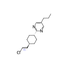 CCCc1cnc([C@H]2CC[C@H](/C=C/Cl)CC2)nc1